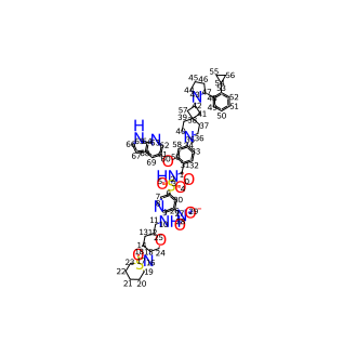 O=C(NS(=O)(=O)c1cnc(NCC2CCC(N=S3(=O)CCCCC3)CO2)c([N+](=O)[O-])c1)c1ccc(N2CCC3(CC2)CC(N2CCC[C@H]2c2ccccc2C2CC2)C3)cc1Oc1cnc2[nH]ccc2c1